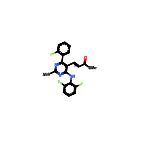 COC(=O)/C=C/c1c(Nc2c(F)cccc2F)nc(SC)nc1-c1ccccc1F